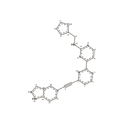 C(#Cc1ccnc(-c2ccnc(NCc3ccco3)n2)n1)c1ccc2[nH]ncc2c1